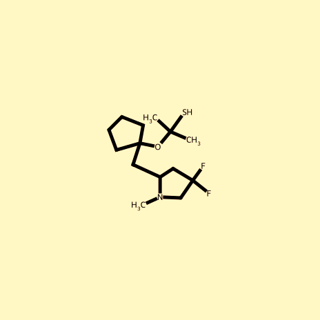 CN1CC(F)(F)CC1CC1(OC(C)(C)S)CCCC1